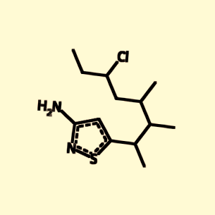 CCC(Cl)CC(C)C(C)C(C)c1cc(N)ns1